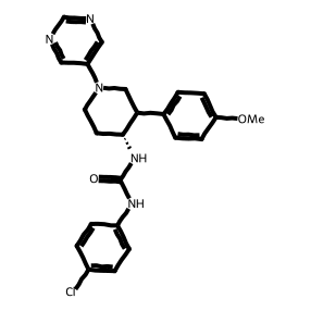 COc1ccc(C2CN(c3cncnc3)CC[C@H]2NC(=O)Nc2ccc(Cl)cc2)cc1